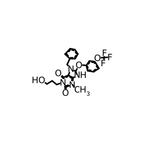 Cn1c2c(c(=O)n(CCCO)c1=O)N(Cc1ccccc1)C(Oc1cccc(OC(F)(F)F)c1)N2